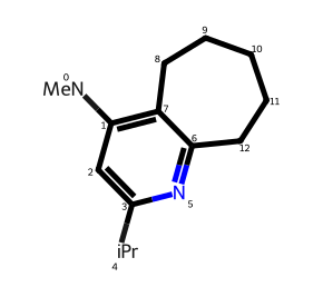 CNc1cc(C(C)C)nc2c1CCCCC2